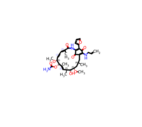 C=CCNC1=C2C[C@@H](C)C[C@H](OC)[C@H](O)[C@@H](C)/C=C(\C)[C@H](OC(N)=O)[C@H](OC)/C=C\C=C(/C)C(=O)NC(=C(c3ccco3)C1=O)C2=O